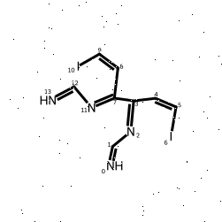 N=CN=C(/C=C\I)C(/C=C\I)=N/C=N